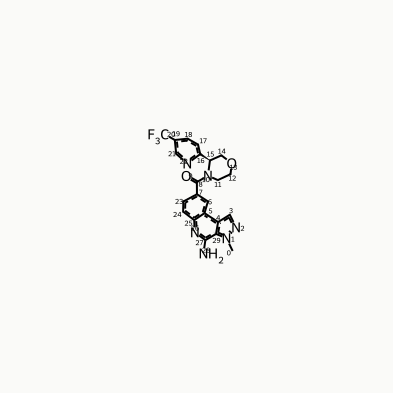 Cn1ncc2c3cc(C(=O)N4CCOC[C@@H]4c4ccc(C(F)(F)F)cn4)ccc3nc(N)c21